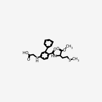 COC(=O)C(CCSC)NC(=O)c1ccc(NCC(=O)O)cc1-c1ccccc1